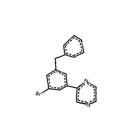 Brc1cc(Cc2ccccc2)cc(-c2cnccn2)c1